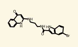 O=C(NCCCNc1cc(=O)c2ccccc2[nH]1)c1cc2cc(Br)ccc2[nH]1